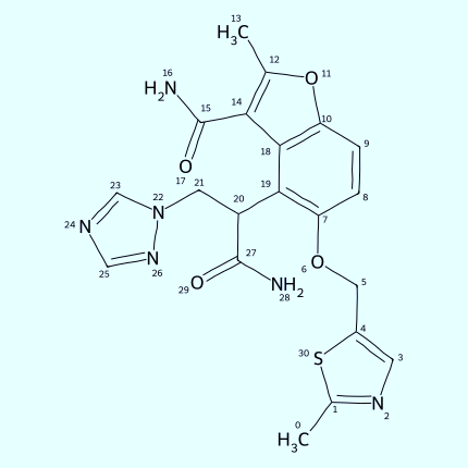 Cc1ncc(COc2ccc3oc(C)c(C(N)=O)c3c2C(Cn2cncn2)C(N)=O)s1